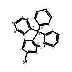 Oc1ccc([B-](c2ccccc2)(c2ccccc2)c2ccccc2)c(O)c1